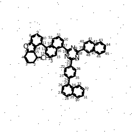 CC1CC=Cc2oc3cccc(-c4cccc5c(-c6nc(-c7ccc(-c8cccc9ccccc89)cc7)nc(-c7ccc8ccccc8c7)n6)cccc45)c3c21